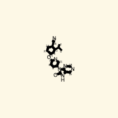 CC(C)c1cc(Oc2ccc(-n3c(=O)[nH]c4cncnc43)cn2)ccc1C#N